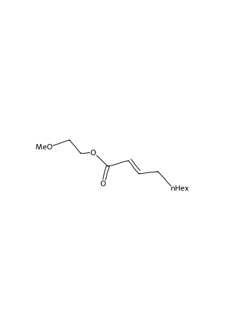 CCCCCCC/C=C/C(=O)OCCOC